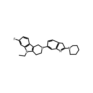 CCn1c2c(c3ccc(F)cc31)CN(c1ccc3c(c1)N=C(N1CCCCC1)C3)CC2